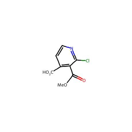 COC(=O)c1c(C(=O)O)ccnc1Cl